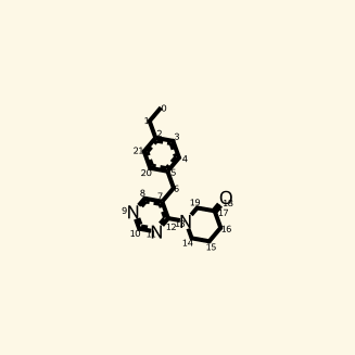 CCc1ccc(Cc2cncnc2N2CCCC(=O)C2)cc1